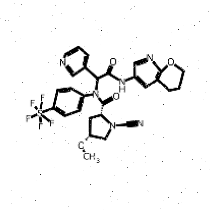 CO[C@@H]1C[C@H](C(=O)N(c2ccc(S(F)(F)(F)(F)F)cc2)C(C(=O)Nc2cnc3c(c2)CCCO3)c2cccnc2)N(C#N)C1